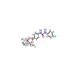 CC1(C)OB(c2ccc(NC(=O)Nc3ccc(F)cc3)cc2)OC1(C)C